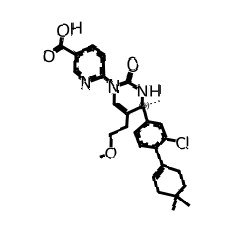 COCCC1=CN(c2ccc(C(=O)O)cn2)C(=O)N[C@@]1(C)c1ccc(C2=CCC(C)(C)CC2)c(Cl)c1